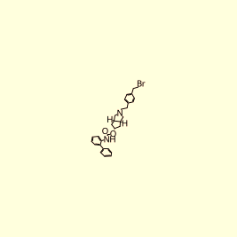 O=C(Nc1ccccc1-c1ccccc1)O[C@@H]1C[C@@H]2CN(CCc3ccc(CCBr)cc3)C[C@@H]2C1